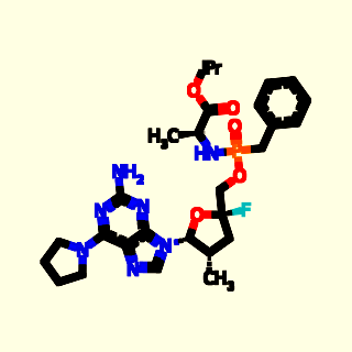 CC(C)OC(=O)[C@H](C)NP(=O)(Cc1ccccc1)OC[C@]1(F)C[C@H](C)[C@H](n2cnc3c(N4CCCC4)nc(N)nc32)O1